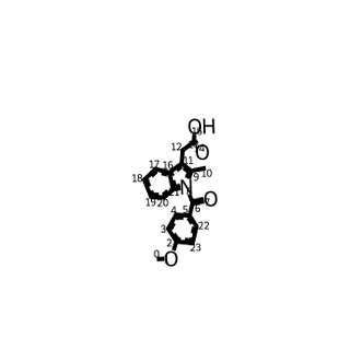 COc1ccc(C(=O)n2c(C)c(CC(=O)O)c3ccccc32)cc1